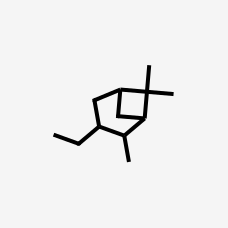 CCC1CC2CC(C1C)C2(C)C